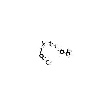 CCC(C)(CNC(=O)CCc1ccc2c(c1)C(=O)N(C1CCC(=O)NC1=O)C2=O)COCC(C)(CC)CNC(=O)COCc1c(OC)cc(-c2cn(C)c(=O)c3c2cnn3C)cc1OC